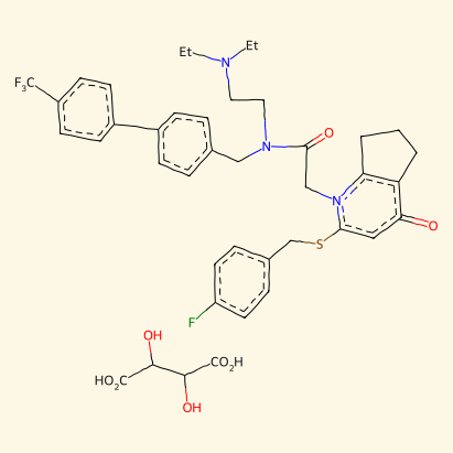 CCN(CC)CCN(Cc1ccc(-c2ccc(C(F)(F)F)cc2)cc1)C(=O)Cn1c(SCc2ccc(F)cc2)cc(=O)c2c1CCC2.O=C(O)C(O)C(O)C(=O)O